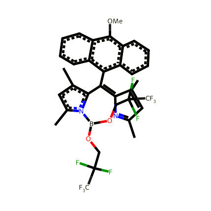 COc1c2ccccc2c(/C(=C2/N=C(C)C=C2C)c2c(C)cc(C)n2B(OCC(F)(F)C(F)(F)F)OCC(F)(F)C(F)(F)F)c2ccccc12